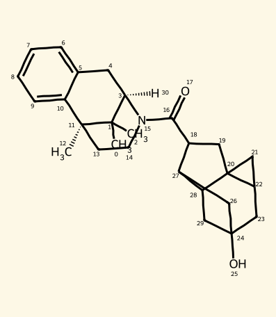 CC1(C)[C@H]2Cc3ccccc3[C@]1(C)CCN2C(=O)C1CC23CC2CC2(O)CC1C3C2